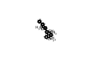 CC1(C)C2=C(C=CCC2)N2c3ccc(-c4ccc5c(c4)C(C)(C)c4cc(-c6ccccc6)ccc4-5)cc3C(C)(C)c3cccc1c32